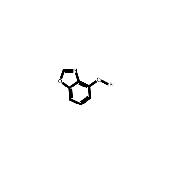 CC(C)Oc1cccc2ocnc12